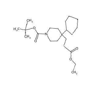 CCOC(=O)CCC1(C2CCCCC2)CCN(C(=O)OC(C)(C)C)CC1